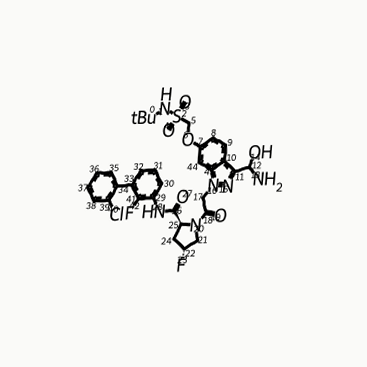 CC(C)(C)NS(=O)(=O)COc1ccc2c(C(N)O)nn(CC(=O)N3C[C@H](F)C[C@H]3C(=O)Nc3cccc(-c4ccccc4Cl)c3F)c2c1